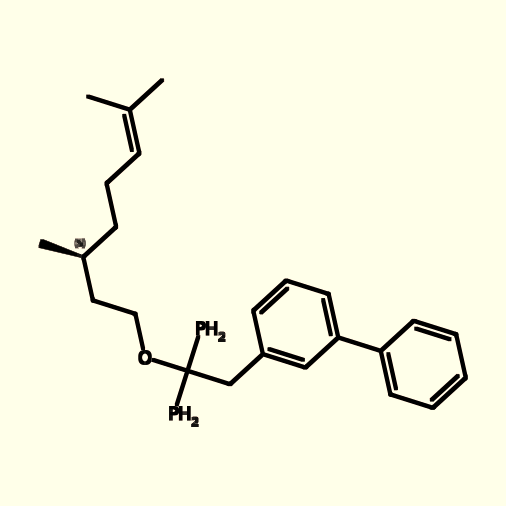 CC(C)=CCC[C@H](C)CCOC(P)(P)Cc1cccc(-c2ccccc2)c1